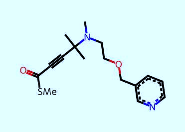 CSC(=O)C#CC(C)(C)N(C)CCOCc1cccnc1